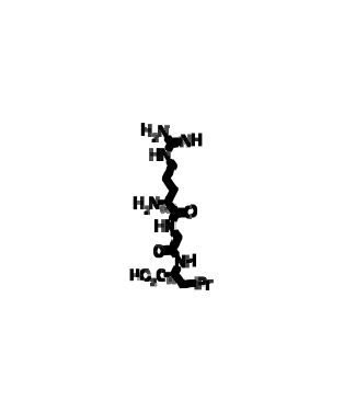 CC(C)C[C@H](NC(=O)CNC(=O)[C@@H](N)CCCNC(=N)N)C(=O)O